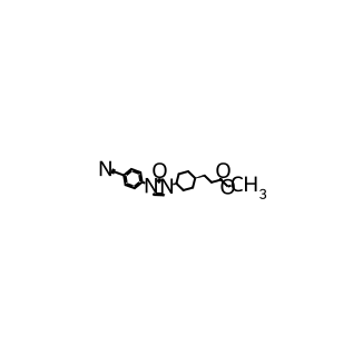 COC(=O)CC[C@H]1CC[C@@H](n2ccn(-c3ccc(C#N)cc3)c2=O)CC1